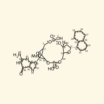 COC1C2COP(=O)(O)O[C@@H]3C[C@H](c4cccc5ccccc45)OC3COP(=O)(O)OC1C(n1cnc3c(=O)[nH]c(N)nc31)O2